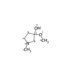 COC1(O)CCN(C)C1